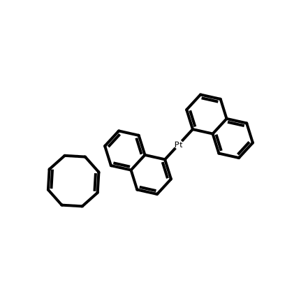 C1=CCCC=CCC1.c1ccc2[c]([Pt][c]3cccc4ccccc34)cccc2c1